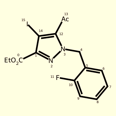 CCOC(=O)c1nn(Cc2ccccc2F)c(C(C)=O)c1I